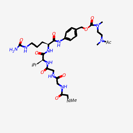 CNCC(=O)NCC(=O)NCC(=O)N[C@H](C(=O)N[C@@H](CCCNC(N)=O)C(=O)Nc1ccc(COC(=O)N(C)CCN(C)C(C)=O)cc1)C(C)C